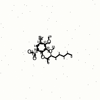 CCCCCCC(C)Oc1c([N+](=O)[O-])cc(Br)c(OC)c1OC